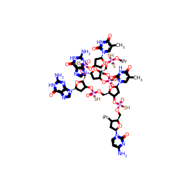 Cc1cn([C@H]2CC(OP(=O)(S)OC[C@H]3O[C@@H](n4ccc(N)nc4=O)CC3C(C)C)[C@@H](COP(=O)(S)OC3C[C@H](n4cnc5c(=O)[nH]c(N)nc54)O[C@@H]3COP(=O)(S)OC3C[C@H](n4cc(C)c(=O)[nH]c4=O)O[C@@H]3COP(=O)(S)OC3C[C@H](n4cnc5c(=O)[nH]c(N)nc54)O[C@@H]3COP(=S)(S)OC(C)C)O2)c(=O)[nH]c1=O